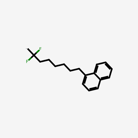 [CH2]C(F)(F)CCCCCCc1cccc2ccccc12